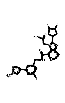 Cn1cc(-c2cc(F)cc(CNC(=O)c3nccc4nc(C5CC(F)C(F)C5)n(CC(N)=O)c34)c2)cn1